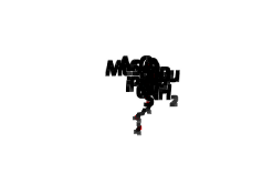 CC[C@H](C)[C@H](NC(=O)[C@@H](NC(=O)[C@@H](N)CSCC=C(C)CCC=C(C)CCC=C(C)C)C(C)C)C(=O)N[C@@H](CCSC)C(=O)OC(C)=O